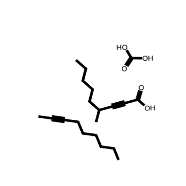 CC#CCCCCCC.CCCCCC(C)C#CC(=O)O.O=C(O)O